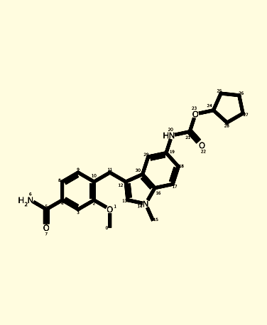 COc1cc(C(N)=O)ccc1Cc1cn(C)c2ccc(NC(=O)OC3CCCC3)cc12